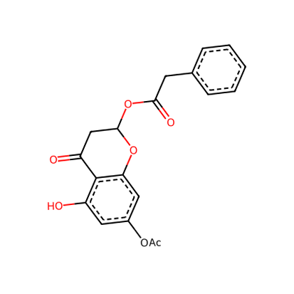 CC(=O)Oc1cc(O)c2c(c1)OC(OC(=O)Cc1ccccc1)CC2=O